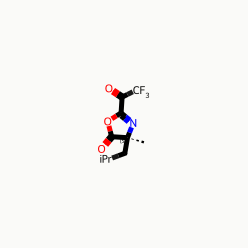 CC(C)C[C@]1(C)N=C(C(=O)C(F)(F)F)OC1=O